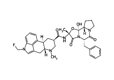 CN1C[C@H](C(=O)N[C@]2(C)O[C@@]3(O)[C@@H]4CCCN4C(=O)[C@H](Cc4ccccc4)N3C2=O)C[C@@H]2c3cccc4c3c(cn4CF)C[C@H]21